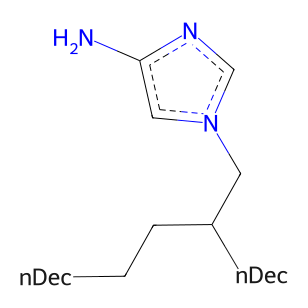 CCCCCCCCCCCCC(CCCCCCCCCC)Cn1cnc(N)c1